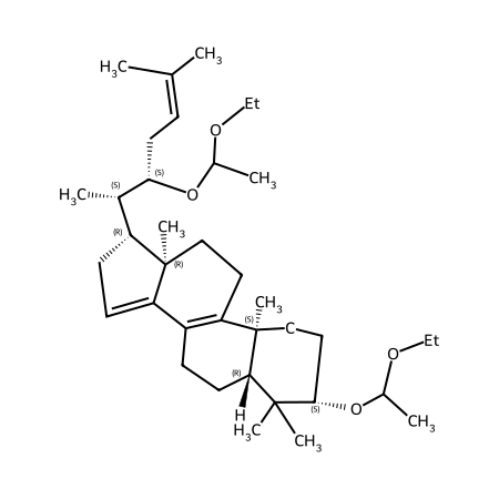 CCOC(C)O[C@@H](CC=C(C)C)[C@@H](C)[C@H]1CC=C2C3=C(CC[C@@]21C)[C@@]1(C)CC[C@H](OC(C)OCC)C(C)(C)[C@@H]1CC3